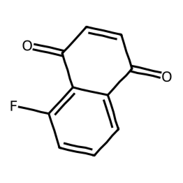 O=C1C=CC(=O)c2c(F)cccc21